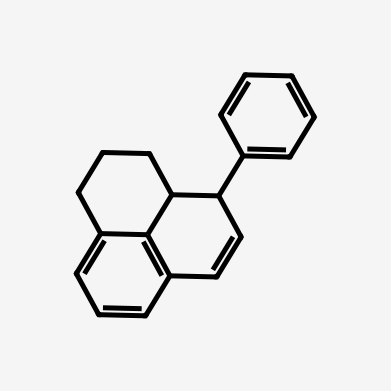 C1=CC(c2ccccc2)C2CCCc3cccc1c32